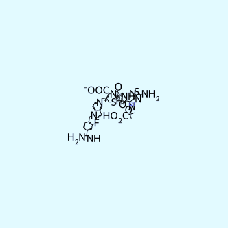 CC(C)(O/N=C(\C(=O)N[C@@H]1C(=O)N2C(C(=O)[O-])=C(C[n+]3ccc4c(ccn4Cc4ccc(C(=N)N)cc4F)c3)CS[C@H]12)c1nsc(N)n1)C(=O)O